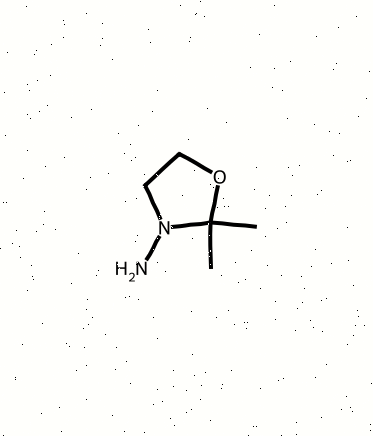 CC1(C)OCCN1N